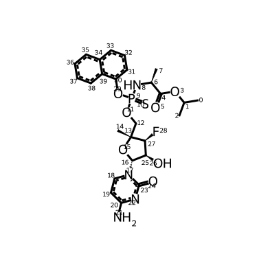 CC(C)OC(=O)[C@H](C)NP(=S)(OC[C@@]1(C)O[C@@H](n2ccc(N)nc2=O)[C@H](O)[C@@H]1F)Oc1cccc2ccccc12